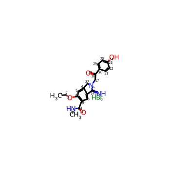 Br.CCOc1cc2c(cc1C(=O)NC)C(=N)N(CC(=O)c1ccc(O)cc1)C2